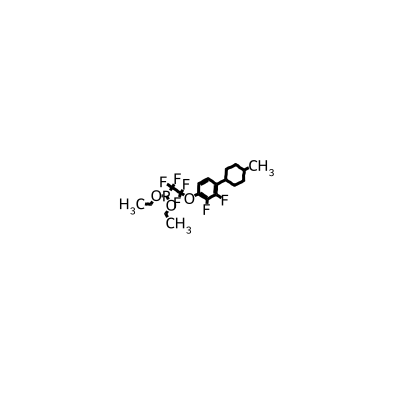 CCOP(OCC)C(F)(F)C(F)(F)Oc1ccc(C2CCC(C)CC2)c(F)c1F